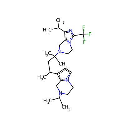 CC(C)c1nc(C(F)(F)F)n2c1CN(C(C)(C)CC(C)c1ccn3c1CN(C(C)C)CC3)CC2